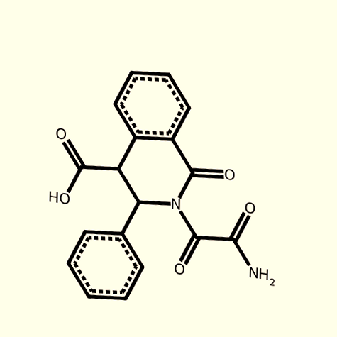 NC(=O)C(=O)N1C(=O)c2ccccc2C(C(=O)O)C1c1ccccc1